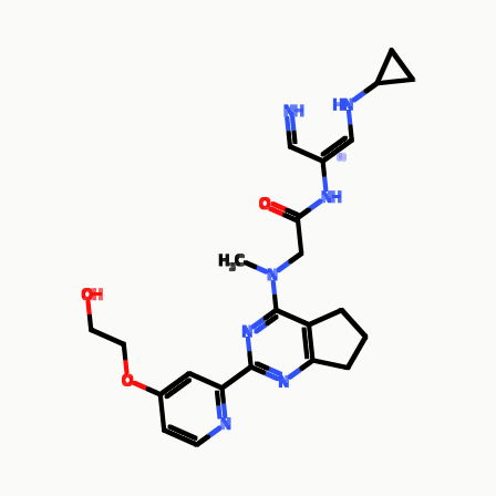 CN(CC(=O)N/C(C=N)=C/NC1CC1)c1nc(-c2cc(OCCO)ccn2)nc2c1CCC2